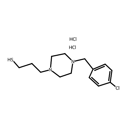 Cl.Cl.SCCCN1CCN(Cc2ccc(Cl)cc2)CC1